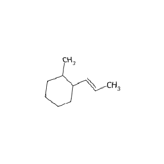 CC=CC1CCCCC1C